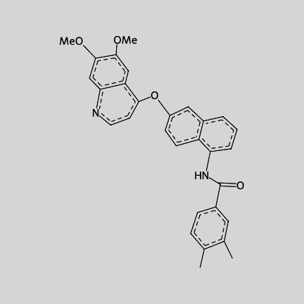 COc1cc2nccc(Oc3ccc4c(NC(=O)c5ccc(C)c(C)c5)cccc4c3)c2cc1OC